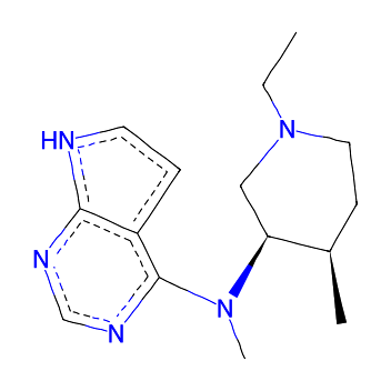 CCN1CC[C@@H](C)[C@@H](N(C)c2ncnc3[nH]ccc23)C1